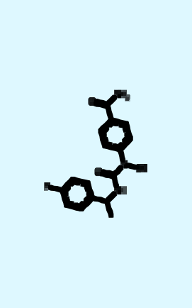 CC(NC(=O)N(S)c1ccc(C(N)=O)cc1)c1ccc(F)cc1